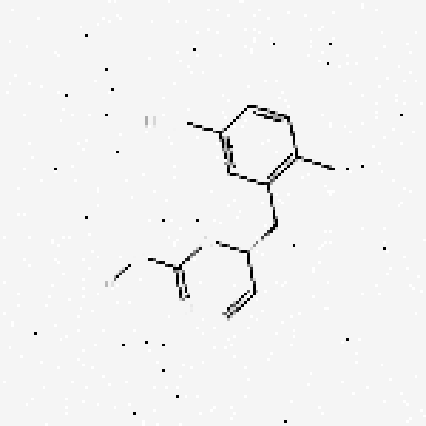 C=C[C@H](Cc1cc(S(=O)(=O)O)ccc1C)NC(=O)OC(C)(C)C